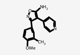 COc1ccc(-c2noc(N)c2-c2ccncc2)cc1C